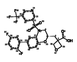 O=C(O)C1(C[C@H]2CN(S(=O)(=O)c3cncc(C(F)(F)F)c3)c3cc(-c4cc(F)ccc4F)ccc3O2)COC1